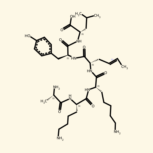 C/C=C/C[C@H](NC(=O)[C@H](CCCCCN)NC(=O)[C@H](CCCCN)NC(=O)[C@H](C)N)C(=O)N[C@@H](Cc1ccc(O)cc1)C(=O)N[C@@H](CC(C)C)C(=O)O